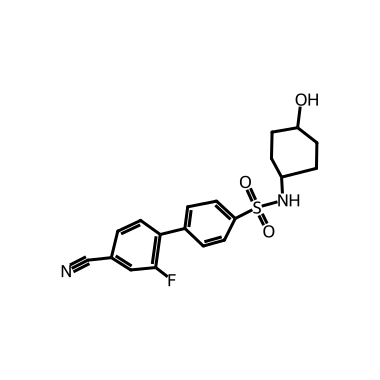 N#Cc1ccc(-c2ccc(S(=O)(=O)NC3CCC(O)CC3)cc2)c(F)c1